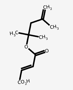 C=C(C)CC(C)(C)OC(=O)C=CC(=O)O